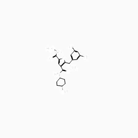 CNC(=O)c1cc(C(=O)N[C@H]2CC[C@H](O)CC2)c([C@@H](C)c2cc(Cl)cc(Cl)c2)o1